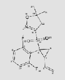 C=CC1CC1(c1c(F)cccc1F)S(=O)(=O)C1=NOC(C)(C)C1